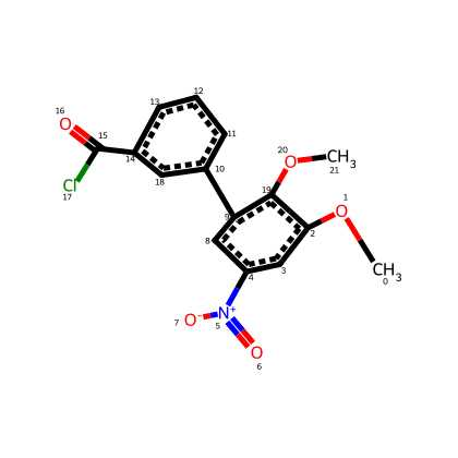 COc1cc([N+](=O)[O-])cc(-c2cccc(C(=O)Cl)c2)c1OC